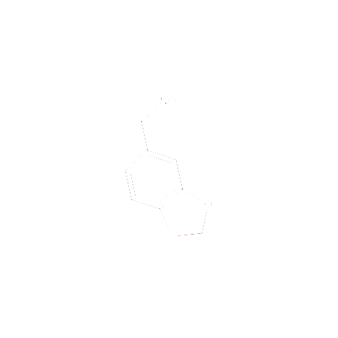 O=[N+]([O-])[CH]c1ccc2c(c1)OCO2